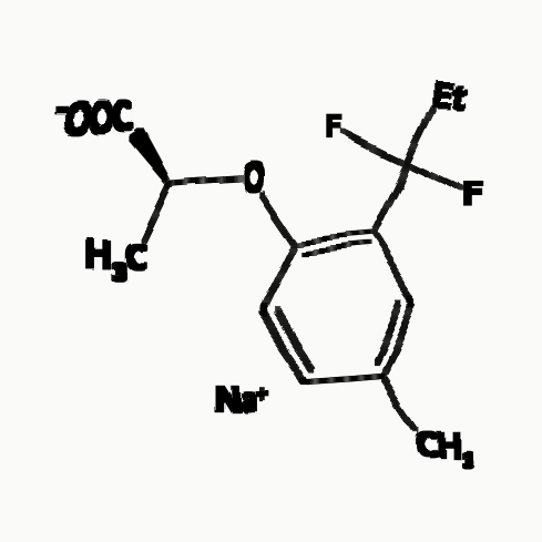 CCC(F)(F)c1cc(C)ccc1O[C@@H](C)C(=O)[O-].[Na+]